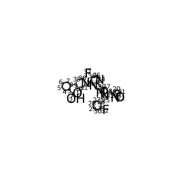 O=C(O)c1ccccc1C1CCN(c2nc(-c3cc(-c4ccon4)n(Cc4ccccc4F)n3)ncc2F)CC1